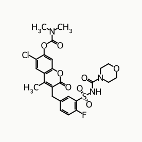 Cc1c(Cc2ccc(F)c(S(=O)(=O)NC(=O)N3CCOCC3)c2)c(=O)oc2cc(OC(=O)N(C)C)c(Cl)cc12